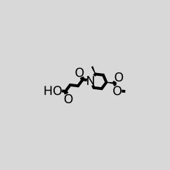 COC(=O)[C@H]1CCN(C(=O)CCC(=O)O)[C@@H](C)C1